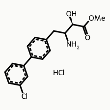 COC(=O)[C@H](O)C(N)Cc1ccc(-c2cccc(Cl)c2)cc1.Cl